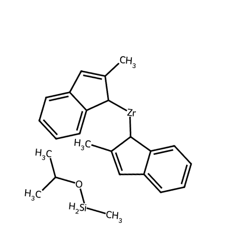 CC1=Cc2ccccc2[CH]1[Zr][CH]1C(C)=Cc2ccccc21.C[SiH2]OC(C)C